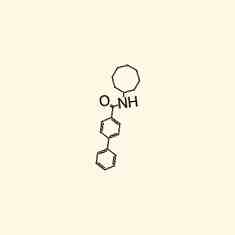 O=C(NC1CCCCCCC1)c1ccc(-c2ccccc2)cc1